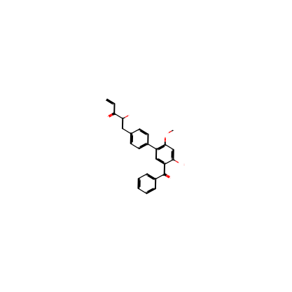 C=CC(=O)C(O)Cc1ccc(-c2cc(C(=O)c3ccccc3)c(O)cc2OC)cc1